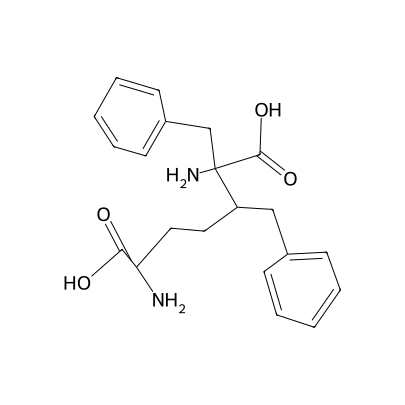 NC(CCC(Cc1ccccc1)C(N)(Cc1ccccc1)C(=O)O)C(=O)O